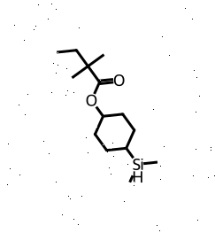 CCC(C)(C)C(=O)OC1CCC([SiH](C)C)CC1